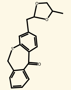 CC1COC(Cc2ccc3c(c2)SCc2ccccc2C3=O)O1